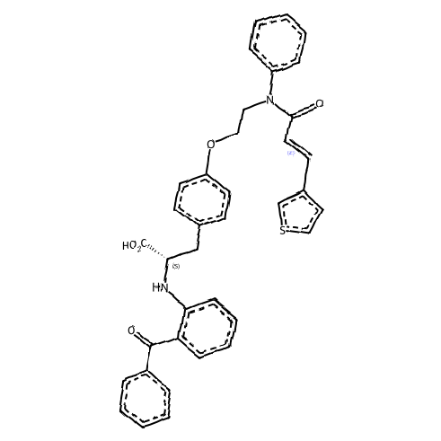 O=C(c1ccccc1)c1ccccc1N[C@@H](Cc1ccc(OCCN(C(=O)/C=C/c2ccsc2)c2ccccc2)cc1)C(=O)O